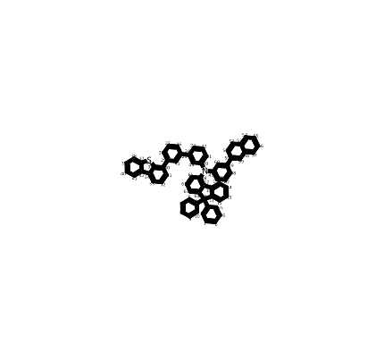 c1ccc(C2(c3ccccc3)c3ccccc3-c3c(N(c4cccc(-c5cccc(-c6cccc7c6sc6ccccc67)c5)c4)c4cccc(-c5ccc6ccccc6c5)c4)cccc32)cc1